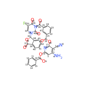 N#Cc1c(N)cc(OC(=O)c2ccccc2)nc1OC(=O)c1cccc(C(=O)n2c(=O)c(F)cn(C3OC(=O)c4ccccc43)c2=O)c1